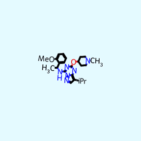 COc1ccccc1C(C)Nc1nc(OC2CCN(C)CC2)nc2c(C(C)C)cnn12